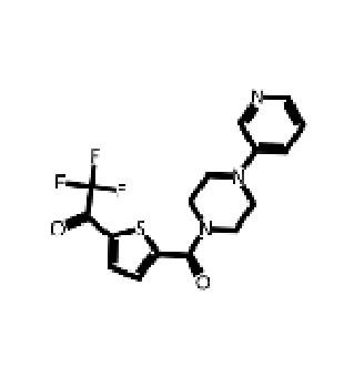 O=C(c1ccc(C(=O)C(F)(F)F)s1)N1CCN(c2cccnc2)CC1